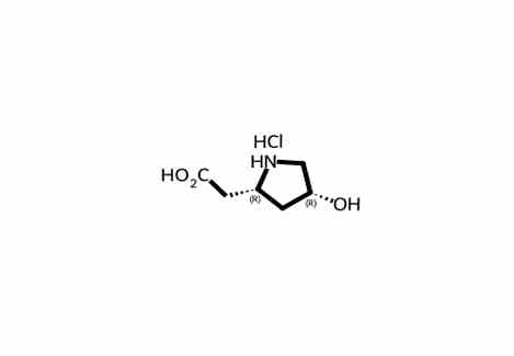 Cl.O=C(O)C[C@H]1C[C@@H](O)CN1